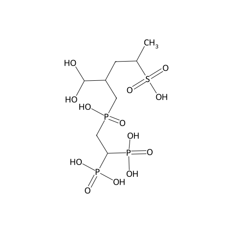 CC(CC(CP(=O)(O)CC(P(=O)(O)O)P(=O)(O)O)C(O)O)S(=O)(=O)O